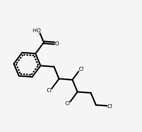 O=C(O)c1ccccc1CC(Cl)C(Cl)C(Cl)CCCl